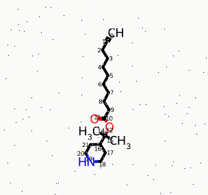 C#CCCCCCCCCC(=O)OC(C)(C)C1CCNCC1